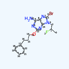 CC(F)Cn1c(Br)nc2c(N)nc(OCCCc3ccccc3)nc21